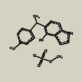 CC(c1cc[n+](C)cc1)c1ccc2[nH]ccc2c1O.COS(=O)(=O)[O-]